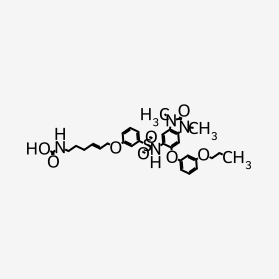 CCCOc1cccc(Oc2cc3c(cc2NS(=O)(=O)c2cccc(OCC=CCCCNC(=O)O)c2)n(C)c(=O)n3C)c1